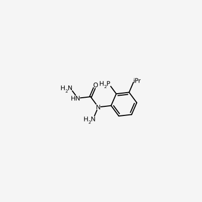 CC(C)c1cccc(N(N)C(=O)NN)c1P